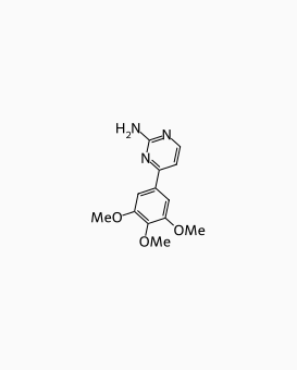 COc1cc(-c2ccnc(N)n2)cc(OC)c1OC